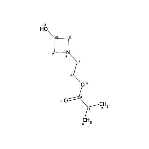 CC(C)C(=O)OCCN1CC(O)C1